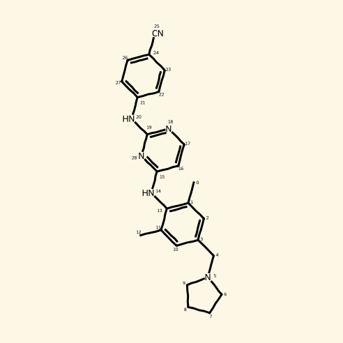 Cc1cc(CN2CCCC2)cc(C)c1Nc1ccnc(Nc2ccc(C#N)cc2)n1